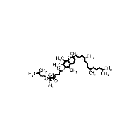 C=C(C)CCOC(C)(C)C(=O)CCC(=O)Oc1c(C)c(C)c2c(c1C)CC[C@@](C)(CCC[C@H](C)CCC[C@H](C)CCCC(C)C)O2